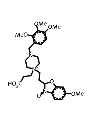 COc1ccc2c(c1)OC(CC[N+]1(CCC(=O)O)CCN(Cc3ccc(OC)c(OC)c3OC)CC1)[N+]2=O